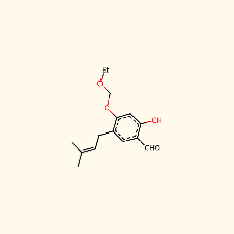 CCOCOc1cc(O)c(C=O)cc1CC=C(C)C